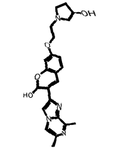 Cc1cn2cc(C3=Cc4ccc(OCCN5CC[C@@H](O)C5)cc4OC3O)nc2c(C)n1